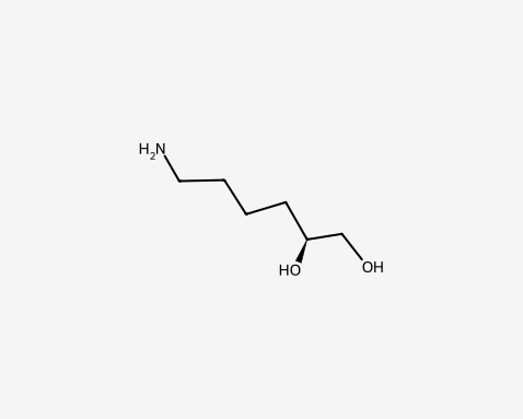 NCCCC[C@H](O)CO